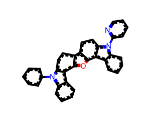 c1ccc(-n2c3ccccc3c3c4oc5c(ccc6c5c5ccccc5n6-c5ccccn5)c4ccc32)cc1